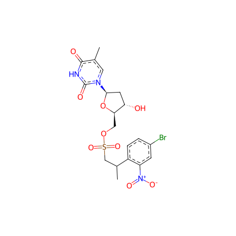 Cc1cn([C@H]2C[C@H](O)[C@@H](COS(=O)(=O)CC(C)c3ccc(Br)cc3[N+](=O)[O-])O2)c(=O)[nH]c1=O